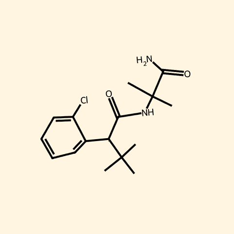 CC(C)(C)[C](C(=O)NC(C)(C)C(N)=O)c1ccccc1Cl